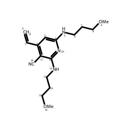 C=Cc1cc(NCCCOC)nc(NCCCOC)c1C#N